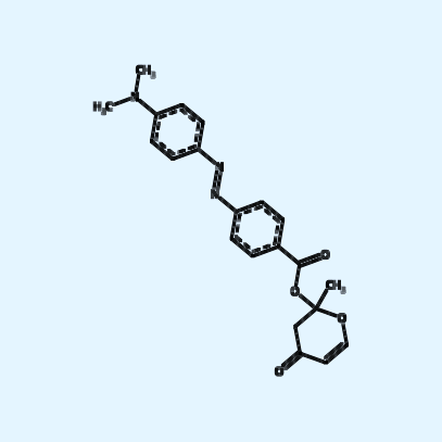 CN(C)c1ccc(N=Nc2ccc(C(=O)OC3(C)CC(=O)C=CO3)cc2)cc1